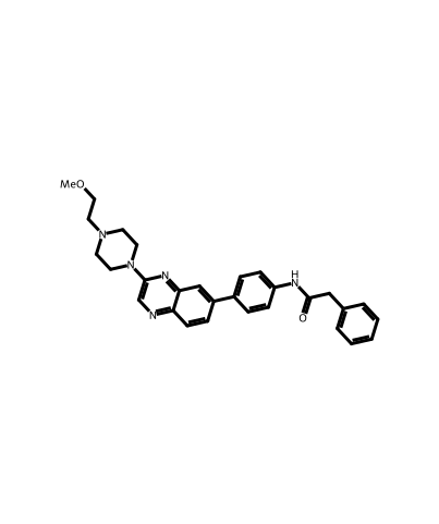 COCCN1CCN(c2cnc3ccc(-c4ccc(NC(=O)Cc5ccccc5)cc4)cc3n2)CC1